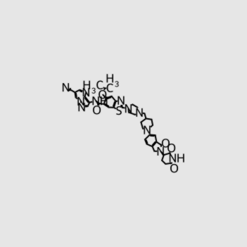 CC(C)Oc1cc2nc(N3CCN(CC4CCN(c5ccc6c(c5)C(=O)N(C5CCC(=O)NC5=O)C6)CC4)CC3)sc2cc1C(=O)Nc1cnn2cc(C#N)cnc12